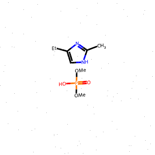 CCc1c[nH]c(C)n1.COP(=O)(O)OC